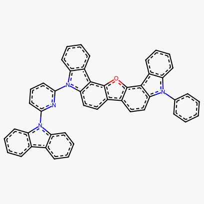 c1ccc(-n2c3ccccc3c3c4oc5c(ccc6c5c5ccccc5n6-c5cccc(-n6c7ccccc7c7ccccc76)n5)c4ccc32)cc1